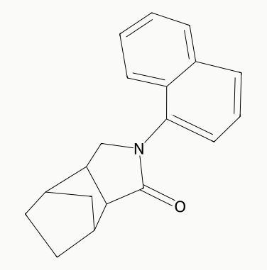 O=C1C2C3CCC(C3)C2CN1c1cccc2ccccc12